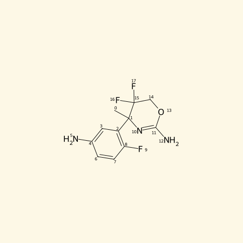 CC1(c2cc(N)ccc2F)N=C(N)OCC1(F)F